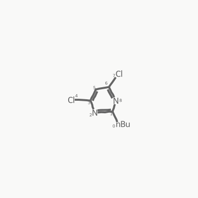 CCCCc1nc(Cl)cc(Cl)n1